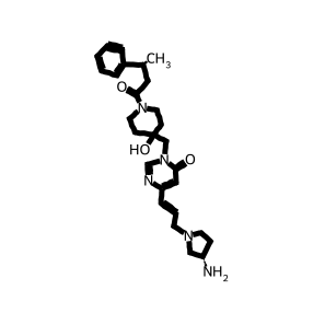 C[C@H](CC(=O)N1CCC(O)(Cn2cnc(/C=C/CN3CC[C@H](N)C3)cc2=O)CC1)c1c#cccc1